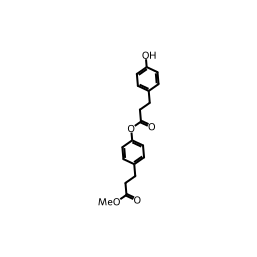 COC(=O)CCc1ccc(OC(=O)CCc2ccc(O)cc2)cc1